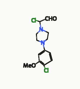 COc1cc(N2CCN(C(Cl)C=O)CC2)ccc1Cl